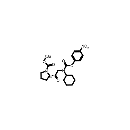 CC(C)(C)OC(=O)N1CCC[C@H]1C(=O)CN(C(=O)Oc1ccc([N+](=O)[O-])cc1)C1CCCCC1